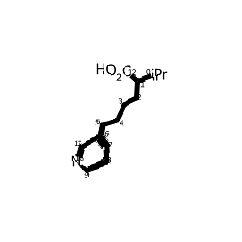 CC(C)C(CCCCc1cccnc1)C(=O)O